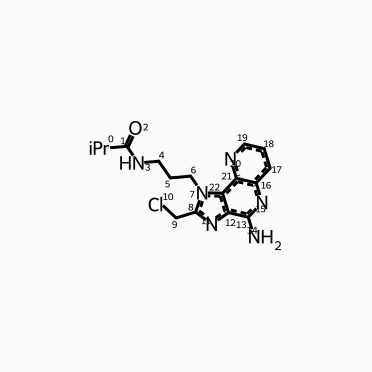 CC(C)C(=O)NCCCn1c(CCl)nc2c(N)nc3cccnc3c21